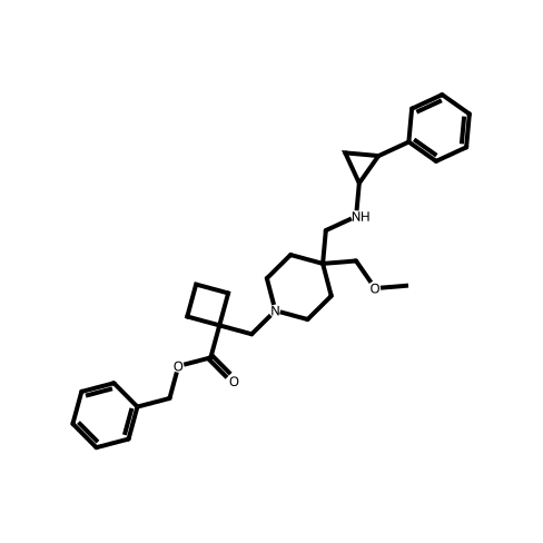 COCC1(CNC2CC2c2ccccc2)CCN(CC2(C(=O)OCc3ccccc3)CCC2)CC1